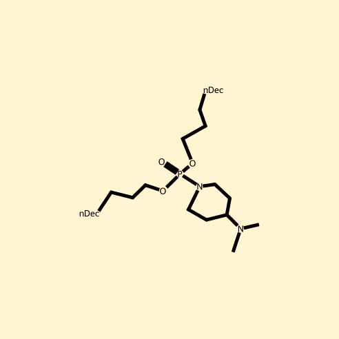 CCCCCCCCCCCCCOP(=O)(OCCCCCCCCCCCCC)N1CCC(N(C)C)CC1